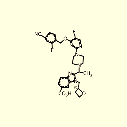 CC(c1nc2ccc(C(=O)O)cc2n1C[C@@H]1CCO1)N1CCN(c2ncc(F)c(OCc3ccc(C#N)cc3F)n2)CC1